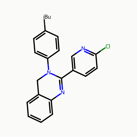 CCC(C)c1ccc(N2Cc3ccccc3N=C2c2ccc(Cl)nc2)cc1